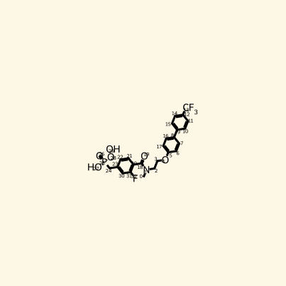 CN(CCOc1ccc(-c2ccc(C(F)(F)F)cc2)cc1)C(=O)c1ccc(CP(=O)(O)OO)cc1F